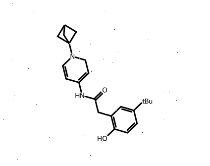 CC(C)(C)c1ccc(O)c(CC(=O)NC2=CCN(C34CC(C3)C4)C=C2)c1